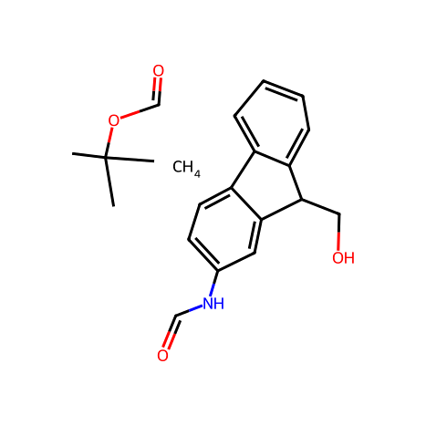 C.CC(C)(C)OC=O.O=CNc1ccc2c(c1)C(CO)c1ccccc1-2